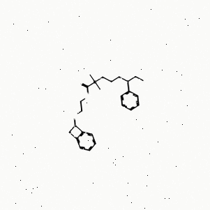 CCC(CCCC(C)(C)C(=O)OCCOC1Cc2ccccc21)c1ccccc1